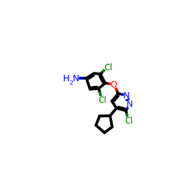 Nc1cc(Cl)c(Oc2cc(C3CCCC3)c(Cl)nn2)c(Cl)c1